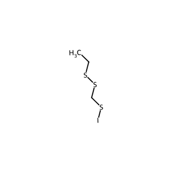 CCSSCSI